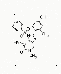 Cc1ccc(-c2cc(CN(C)C(=O)OC(C)(C)C)cn2S(=O)(=O)c2cccnc2)c(C)c1